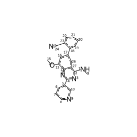 CNc1nc(-c2cccnc2)nc2c(OC)cc(-c3ccccc3C#N)cc12